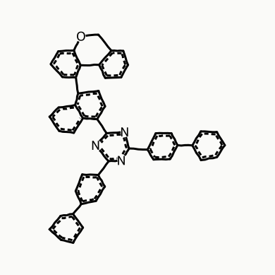 c1ccc(-c2ccc(-c3nc(-c4ccc(-c5ccccc5)cc4)nc(-c4ccc(-c5cccc6c5-c5ccccc5CO6)c5ccccc45)n3)cc2)cc1